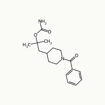 CC(C)(CC1CCN(C(=O)c2ccccc2)CC1)OC(N)=O